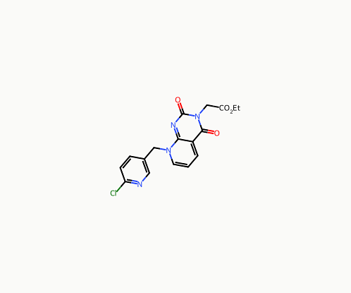 CCOC(=O)Cn1c(=O)nc2n(Cc3ccc(Cl)nc3)cccc-2c1=O